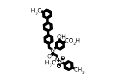 Cc1ccc(S(=O)(=O)N(C)CC(=O)N(Cc2ccc(-c3ccc(-c4cccc(C)c4)cc3)cc2)c2ccc(C(=O)O)c(O)c2)cc1